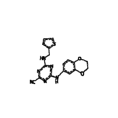 N#Cc1nc(NCc2cccs2)nc(Nc2ccc3c(c2)OCCO3)n1